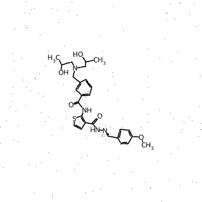 COc1ccc(/C=N/NC(=O)c2ccsc2NC(=O)c2cccc(CN(CC(C)O)CC(C)O)c2)cc1